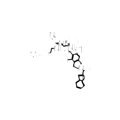 COCCN/C(=N/CN)NC[C@H](NC(=O)c1c(Cl)cc2c(c1Cl)CCN(C(=O)c1cc3ccccc3o1)C2)C(=O)O